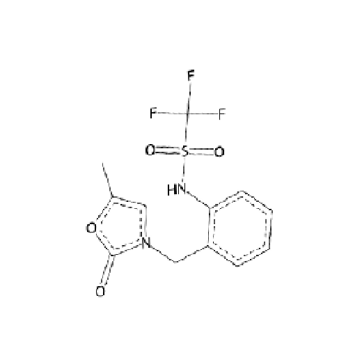 Cc1cn(Cc2ccccc2NS(=O)(=O)C(F)(F)F)c(=O)o1